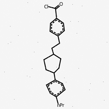 CCCc1ccc(C2CCC(CCc3ccc(C(=O)Cl)cc3)CC2)cc1